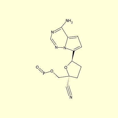 N#C[C@@]1(COP=O)CC[C@H](c2ccc3c(N)ncnn23)O1